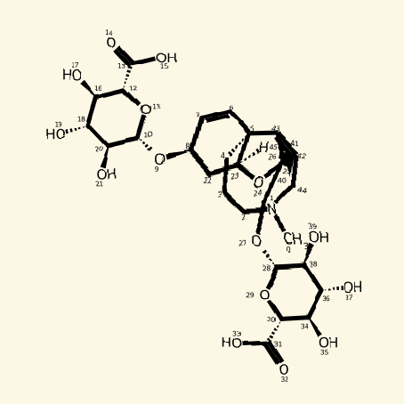 CN1CCC[C@@]23C=C[C@H](O[C@H]4O[C@@H](C(=O)O)[C@H](O)[C@@H](O)[C@@H]4O)C[C@@H]2Oc2c(O[C@H]4O[C@@H](C(=O)O)[C@H](O)[C@@H](O)[C@@H]4O)ccc(c23)C1